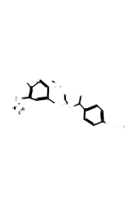 COc1ccc(C(N[C@H](Cc2ccc(O)c(NS(C)(=O)=O)c2)O[Si](C)(C)C(C)(C)C)C(=O)O)cc1